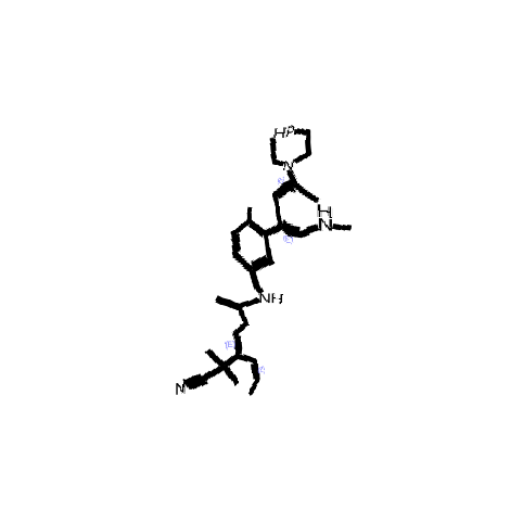 C=C(C/C=C(\C=C/C)C(C)(C)C#N)Nc1ccc(C)c(C(=C/NC)/C=C(\C)N2CCPCC2)c1